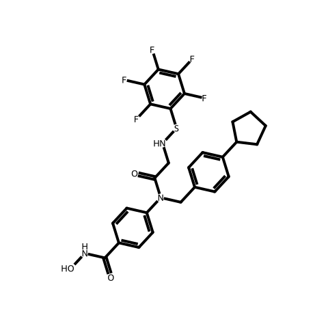 O=C(NO)c1ccc(N(Cc2ccc(C3CCCC3)cc2)C(=O)CNSc2c(F)c(F)c(F)c(F)c2F)cc1